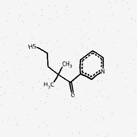 CC(C)(CCS)C(=O)c1cccnc1